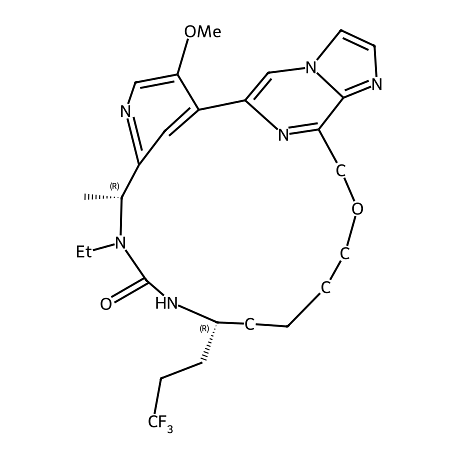 CCN1C(=O)N[C@@H](CCC(F)(F)F)CCCCOCc2nc(cn3ccnc23)-c2cc(ncc2OC)[C@H]1C